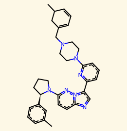 Cc1cccc([C@H]2CCCN2c2ccc3ncc(-c4cccc(N5CCN(CC6=CC=CC(C)C6)CC5)n4)n3n2)c1